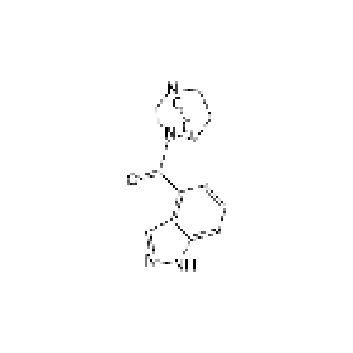 O=C(c1cccc2[nH]ncc12)N1CCN2CCC1CC2